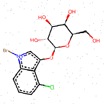 OC[C@H]1O[C@@H](Oc2cn(Br)c3cccc(Cl)c23)[C@H](O)[C@@H](O)[C@H]1O